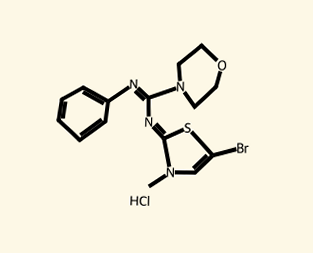 Cl.Cn1cc(Br)sc1=NC(=Nc1ccccc1)N1CCOCC1